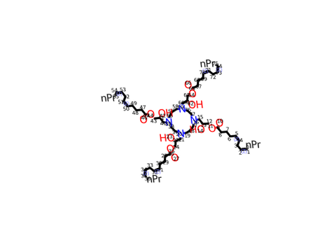 CCC/C=C\C/C=C\CCCC(=O)OCC(O)CN1CCCN(CC(O)COC(=O)CCC/C=C\C/C=C\CCC)CCN(CC(O)COC(=O)CCC/C=C\C/C=C\CCC)CCCN(CC(O)COC(=O)CCC/C=C\C/C=C\CCC)CC1